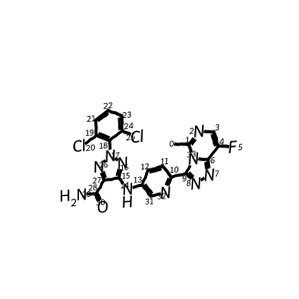 Cc1ncc(F)c2nnc(-c3ccc(Nc4nn(-c5c(Cl)cccc5Cl)nc4C(N)=O)cn3)n12